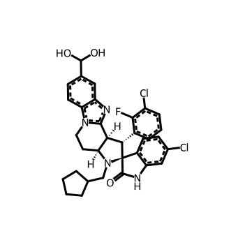 O=C1Nc2cc(Cl)ccc2[C@@]12[C@@H](c1cccc(Cl)c1F)[C@@H]1c3nc4cc(C(O)O)ccc4n3CC[C@@H]1N2CC1CCCC1